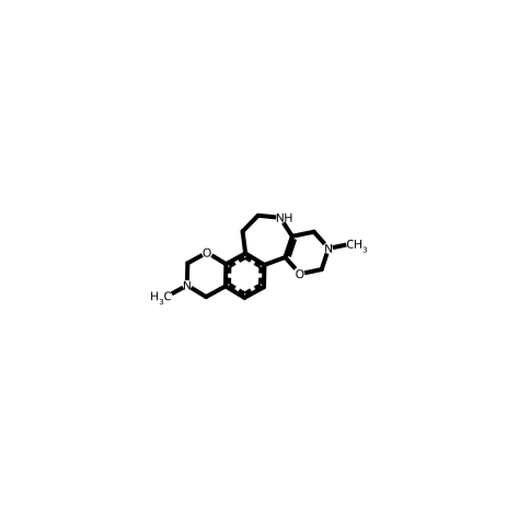 CN1COC2=C(C1)NCCc1c2ccc2c1OCN(C)C2